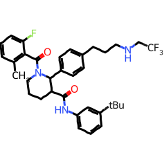 Cc1cccc(F)c1C(=O)N1CCCC(C(=O)Nc2cccc(C(C)(C)C)c2)C1c1ccc(CCCNCC(F)(F)F)cc1